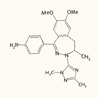 COc1cc2c(cc1OC)C(c1ccc(N)cc1)=NN(c1nc(C)nn1C)C(C)C2